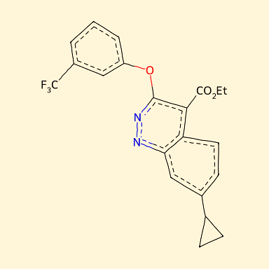 CCOC(=O)c1c(Oc2cccc(C(F)(F)F)c2)nnc2cc(C3CC3)ccc12